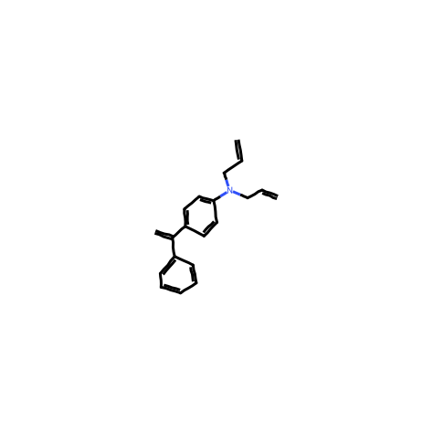 C=CCN(CC=C)c1ccc(C(=C)c2ccccc2)cc1